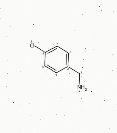 NCc1c[c]c(Cl)cc1